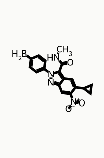 Bc1ccc(-n2nc3cc([N+](=O)[O-])c(C4CC4)cc3c2C(=O)NC)cc1